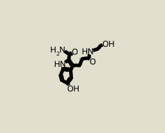 NC(=O)c1[nH]c2ccc(O)cc2c1C[CH]C(=O)NCCO